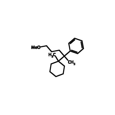 COCCCC(C)(c1ccccc1)C1(C)CCCCC1